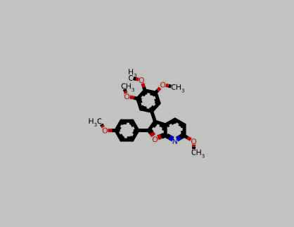 COc1ccc(-c2oc3nc(OC)ccc3c2-c2cc(OC)c(OC)c(OC)c2)cc1